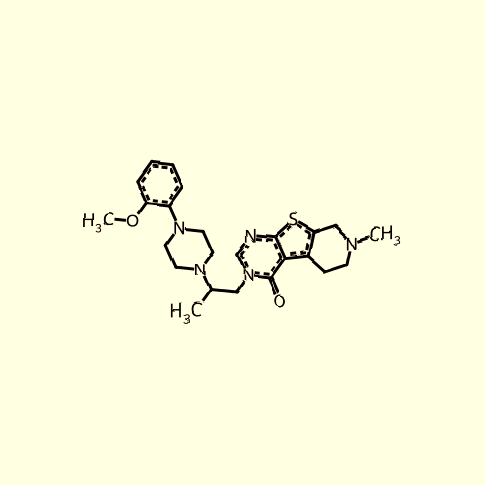 COc1ccccc1N1CCN(C(C)Cn2cnc3sc4c(c3c2=O)CCN(C)C4)CC1